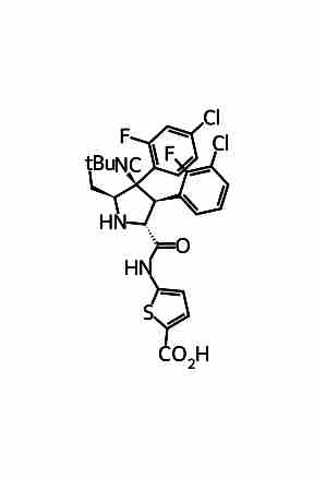 CC(C)(C)C[C@@H]1N[C@@H](C(=O)Nc2ccc(C(=O)O)s2)[C@H](c2cccc(Cl)c2F)[C@@]1(C#N)c1ccc(Cl)cc1F